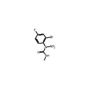 CNC(=O)N(N)c1ccc(F)cc1Br